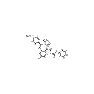 COc1ccc(C2Sc3cc(C)ccc3N(CCN(C)Cc3ccccc3)C(=O)C2OC(C)=O)cc1